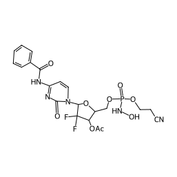 CC(=O)OC1C(COP(=O)(NO)OCCC#N)OC(n2ccc(NC(=O)c3ccccc3)nc2=O)C1(F)F